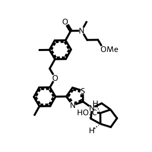 COCCN(C)C(=O)c1ccc(COc2ccc(C)cc2-c2csc(N3CC4CC[C@@H](C3)[C@H]4C(=O)O)n2)c(C)c1